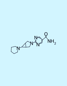 NC(=O)c1cnc(N2CC3C(C2)C3N2CCCCC2)nc1